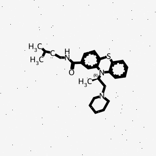 CC(C)CCNC(=O)c1ccc2c(c1)N([C@H](C)CN1CCCCC1)c1ccccc1S2